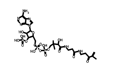 C=C(C)C(=O)CCNC(=O)CCNC(=O)C(O)C(C)(C)COP(=O)(O)OP(=O)(O)OCC1OC(n2cnc3c(N)ncnc32)C(O)C1OP(=O)(O)O